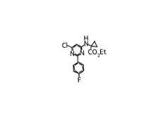 CCOC(=O)C1(Nc2cc(Cl)nc(-c3ccc(F)cc3)n2)CC1